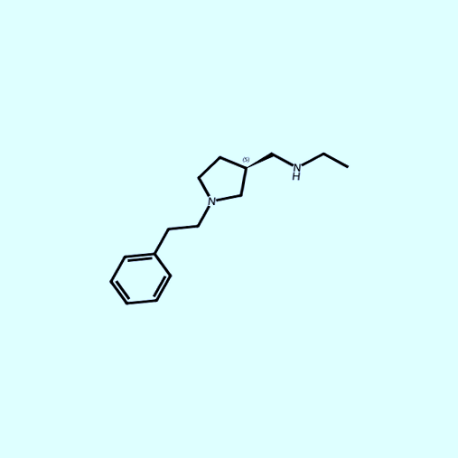 CCNC[C@@H]1CCN(CCc2ccccc2)C1